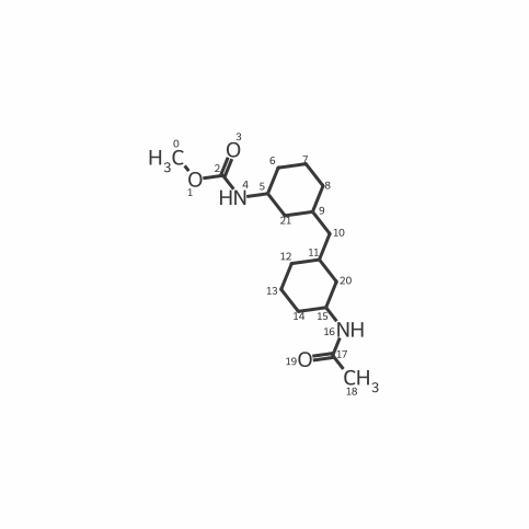 COC(=O)NC1CCCC(CC2CCCC(NC(C)=O)C2)C1